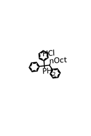 CCCCCCCCC(c1ccccc1)C(P)(c1ccccc1)c1ccccc1.Cl